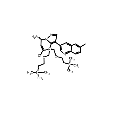 C[Si](C)(C)CCOC[N+]1(COCC[Si](C)(C)C)C(Cl)=CC([AsH2])n2ncc(-c3cnc4ccc(F)cc4c3)c21